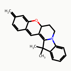 C=c1ccc2c(c1)OC1CCN3C(=C1C=2)C(C)(C)c1ccccc13